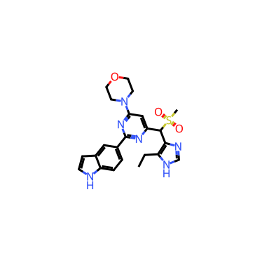 CCc1[nH]cnc1C(c1cc(N2CCOCC2)nc(-c2ccc3[nH]ccc3c2)n1)S(C)(=O)=O